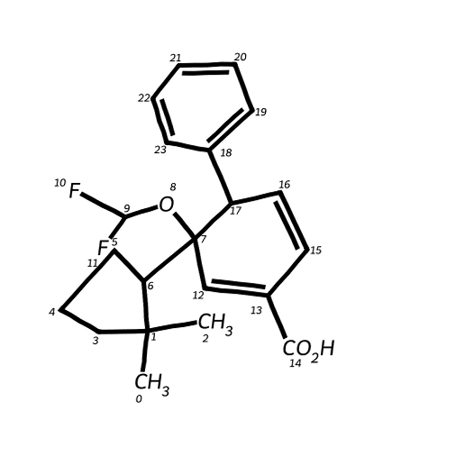 CC1(C)CCCC1C1(OC(F)F)C=C(C(=O)O)C=CC1c1ccccc1